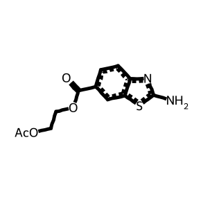 CC(=O)OCCOC(=O)c1ccc2nc(N)sc2c1